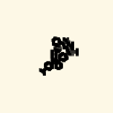 COc1ccccc1-c1cc(Nc2ccc(C(=O)Nc3ccc(C(C)C)cc3)cc2)ncn1